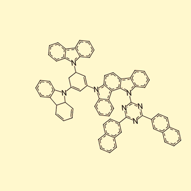 C1=CC2c3ccccc3N(C3=CC(n4c5ccccc5c5c4ccc4c6ccccc6n(-c6nc(-c7ccc8ccccc8c7)nc(-c7ccc8ccccc8c7)n6)c45)=CC(n4c5ccccc5c5ccccc54)C3)C2C=C1